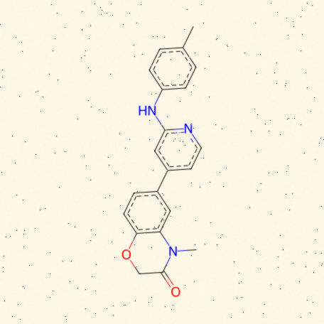 Cc1ccc(Nc2cc(-c3ccc4c(c3)N(C)C(=O)CO4)ccn2)cc1